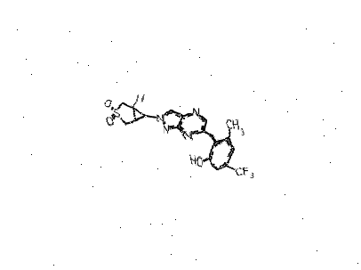 Cc1cc(C(F)(F)F)cc(O)c1-c1cnc2cn(C3C4CS(=O)(=O)C[C@@H]43)nc2n1